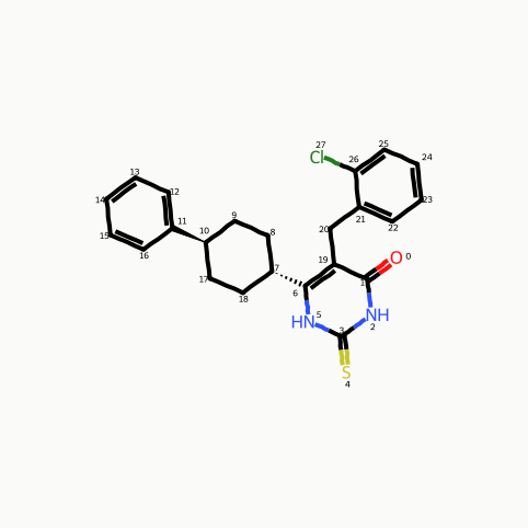 O=c1[nH]c(=S)[nH]c([C@H]2CC[C@H](c3ccccc3)CC2)c1Cc1ccccc1Cl